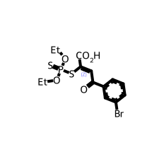 CCOP(=S)(OCC)S/C(=C\C(=O)c1cccc(Br)c1)C(=O)O